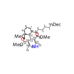 CCCCCCCCCCCCCCCc1cccc(OC)c1C1C(C(=O)OC)=C(C)NC(C)=C1C(=O)OC